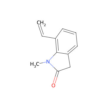 C=Cc1cccc2c1N(C)C(=O)C2